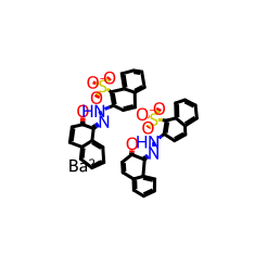 O=C1C=Cc2ccccc2/C1=N/Nc1ccc2ccccc2c1S(=O)(=O)[O-].O=C1C=Cc2ccccc2/C1=N/Nc1ccc2ccccc2c1S(=O)(=O)[O-].[Ba+2]